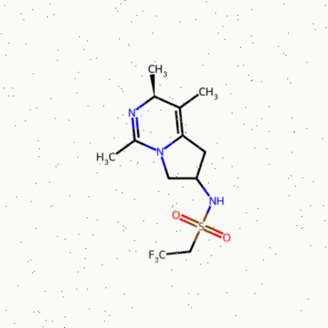 CC1=N[C@@H](C)C(C)=C2CC(NS(=O)(=O)CC(F)(F)F)CN12